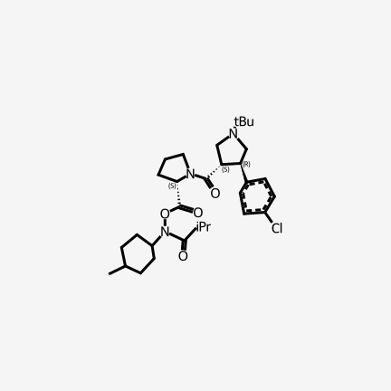 CC1CCC(N(OC(=O)[C@@H]2CCCN2C(=O)[C@@H]2CN(C(C)(C)C)C[C@H]2c2ccc(Cl)cc2)C(=O)C(C)C)CC1